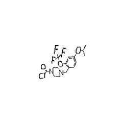 CC(C)Oc1ccc(CN2CCN(C(=O)Cl)CC2)c(OC(F)(F)F)c1